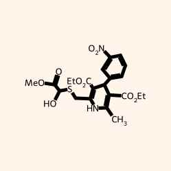 CCOC(=O)C1=C(C)NC(CSC(O)C(=O)OC)=C(C(=O)OCC)C1c1cccc([N+](=O)[O-])c1